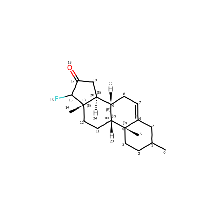 CC1CC[C@@]2(C)C(=CC[C@@H]3[C@H]2CC[C@]2(C)C(F)C(=O)C[C@@H]32)C1